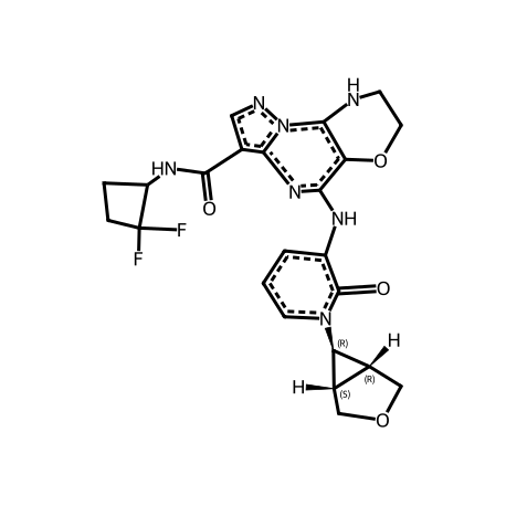 O=C(NC1CCC1(F)F)c1cnn2c3c(c(Nc4cccn([C@H]5[C@@H]6COC[C@@H]65)c4=O)nc12)OCCN3